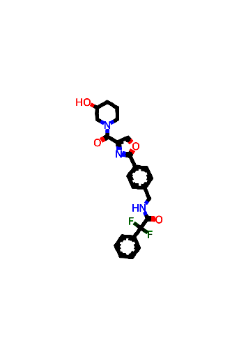 O=C(c1coc(-c2ccc(CNC(=O)C(F)(F)c3ccccc3)cc2)n1)N1CCCC(O)C1